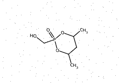 CC1CC(C)OP(=O)(CO)O1